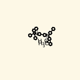 CC1(C)c2ccccc2-c2ccc(N(c3ccc(-c4ccccc4)cc3)c3ccc(-c4ccc(-n5c(-c6ccccc6)c(-c6ccccc6)c6ccc7ccccc7c65)cc4)cc3)cc21